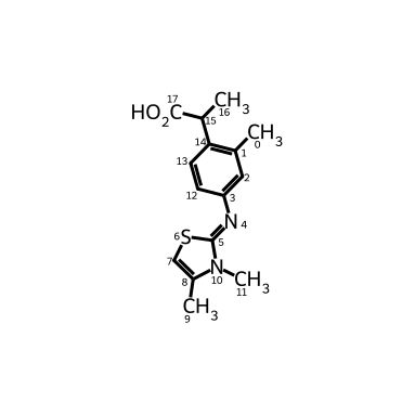 Cc1cc(/N=c2\scc(C)n2C)ccc1C(C)C(=O)O